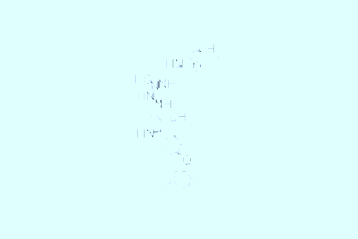 C=CC(=O)NCCNN(C)NN/C=C(\C)C(=N)c1ccc(Oc2ccccc2)cc1